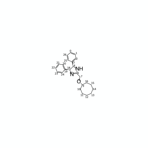 c1ccc([C@H]2NC(COC3CCCCCCC3)=N[C@H]2c2ccccc2)cc1